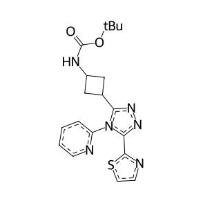 CC(C)(C)OC(=O)NC1CC(c2nnc(-c3nccs3)n2-c2ccccn2)C1